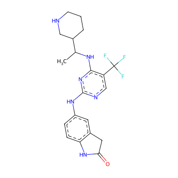 CC(Nc1nc(Nc2ccc3c(c2)CC(=O)N3)ncc1C(F)(F)F)C1CCCNC1